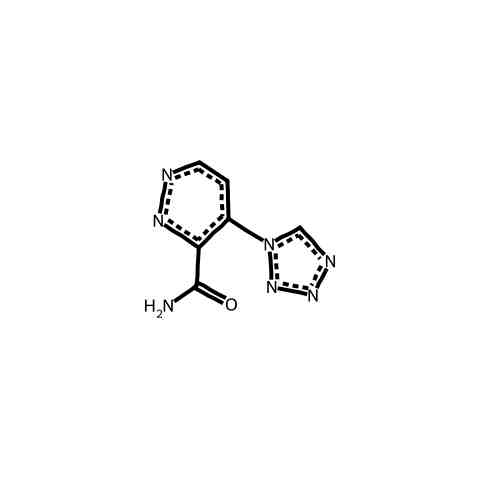 NC(=O)c1nnccc1-n1cnnn1